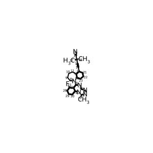 Cc1nnc2nc(N3CCCCc4c(C#CC(C)(C)C#N)cccc43)c3c(F)cccc3n12